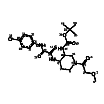 COCC(=O)N1CCC(NC(=S)C(=O)Nc2ccc(Cl)cc2)C(NC(=O)OC(C)(C)C)C1